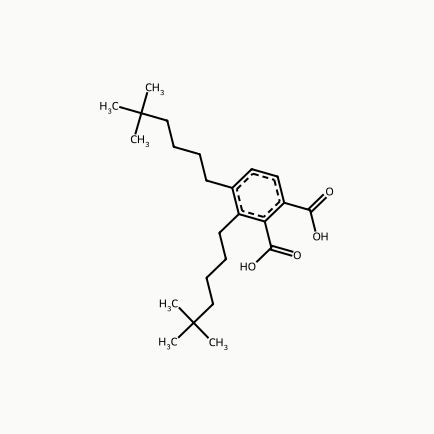 CC(C)(C)CCCCc1ccc(C(=O)O)c(C(=O)O)c1CCCCC(C)(C)C